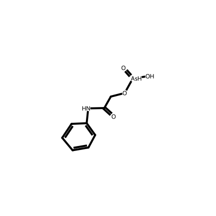 O=C(CO[AsH](=O)O)Nc1ccccc1